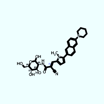 Cn1c(/C=C(\C#N)C(=O)N[C@H]2C(O)O[C@H](CO)[C@@H](O)[C@@H]2O)ccc1-c1ccc2cc(N3CCCCC3)ccc2c1